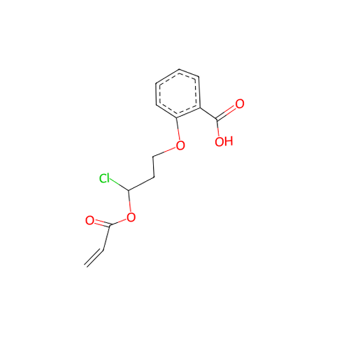 C=CC(=O)OC(Cl)CCOc1ccccc1C(=O)O